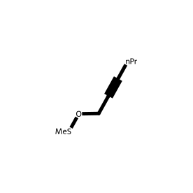 CCCC#CCOSC